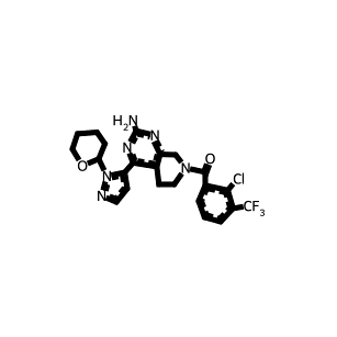 Nc1nc2c(c(-c3ccnn3C3CCCCO3)n1)CCN(C(=O)c1cccc(C(F)(F)F)c1Cl)C2